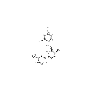 C[C@H]1CN(c2ccc(F)c(OCc3ccc(Cl)cc3F)c2)CCN1